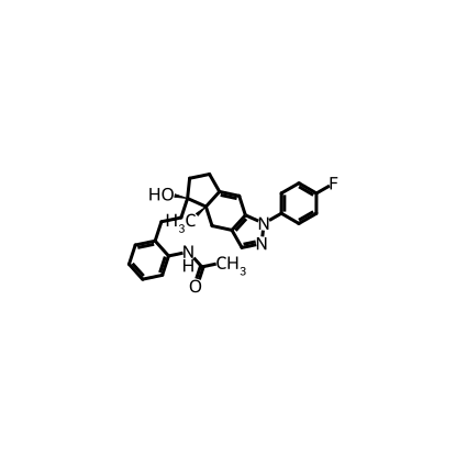 CC(=O)Nc1ccccc1CC[C@]1(O)CCC2=Cc3c(cnn3-c3ccc(F)cc3)C[C@@]21C